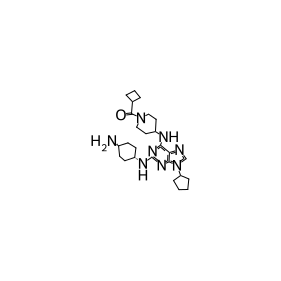 N[C@H]1CC[C@H](Nc2nc(NC3CCN(C(=O)C4CCC4)CC3)c3ncn(C4CCCC4)c3n2)CC1